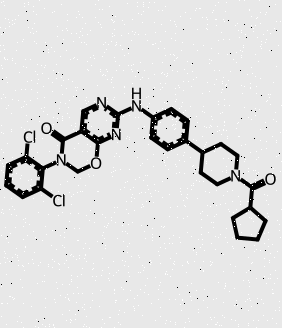 O=C(C1CCCC1)N1CCC(c2ccc(Nc3ncc4c(n3)OCN(c3c(Cl)cccc3Cl)C4=O)cc2)CC1